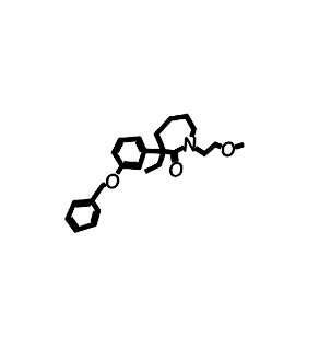 CCC1(c2cccc(OCc3ccccc3)c2)CCCCN(CCOC)C1=O